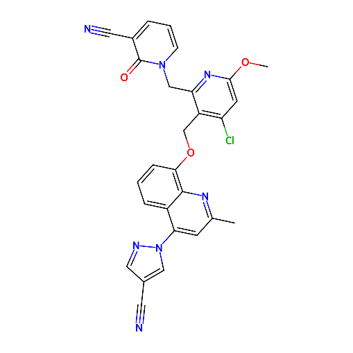 COc1cc(Cl)c(COc2cccc3c(-n4cc(C#N)cn4)cc(C)nc23)c(Cn2cccc(C#N)c2=O)n1